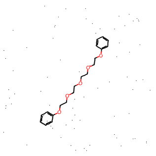 c1ccc(OCCOCCOCCOCCOc2ccccc2)cc1